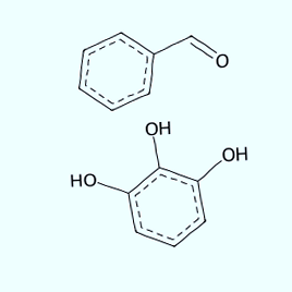 O=Cc1ccccc1.Oc1cccc(O)c1O